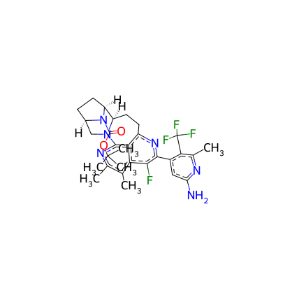 Cc1nc(N)cc(-c2nc3c4c(nc(C)c(C)c4c2F)N2C[C@H]4CC[C@@H]([C@H]2CC3)N4C(=O)OC(C)(C)C)c1C(F)(F)F